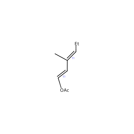 CC/C=C(C)/C=C/OC(C)=O